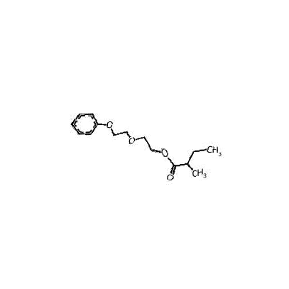 CCC(C)C(=O)OCCOCCOc1ccccc1